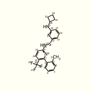 Cc1ccccc1-c1nc(NSc2cccc(NC3CCC3)n2)ccc1C(F)(F)F